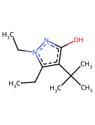 CCc1c(C(C)(C)C)c(O)nn1CC